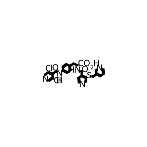 O=C(N[C@@H](Cc1ccc(NC(=O)c2c(Cl)cncc2Cl)cc1)C(=O)O)c1ccncc1SCc1cccnc1